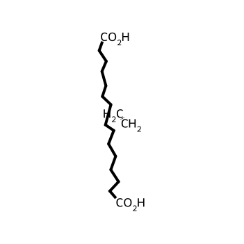 C=C.O=C(O)CCCCCCCCCCCCCC(=O)O